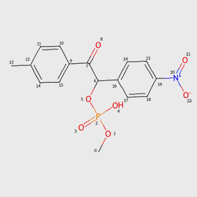 COP(=O)(O)OC(C(=O)c1ccc(C)cc1)c1ccc([N+](=O)[O-])cc1